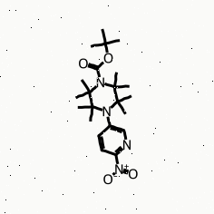 CC(C)(C)OC(=O)N1C(C)(C)C(C)(C)N(c2ccc([N+](=O)[O-])nc2)C(C)(C)C1(C)C